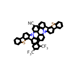 N#Cc1ccc(-c2cc(-c3ccc(C(F)(F)F)cc3C(F)(F)F)ccc2-n2c3ccccc3c3c4sc5ccccc5c4ccc32)c(-n2c3ccccc3c3c4sc5ccccc5c4ccc32)c1